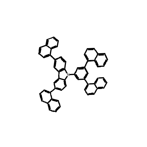 c1ccc2c(-c3cc(-c4cccc5ccccc45)cc(-n4c5ccc(-c6cccc7ccccc67)cc5c5cc(-c6cccc7ccccc67)ccc54)c3)cccc2c1